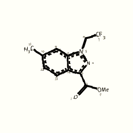 COC(=O)c1nn(CC(F)(F)F)c2cc(C)ccc12